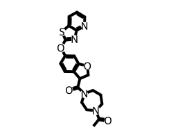 CC(=O)N1CCCN(C(=O)C2COc3cc(Oc4nc5ncccc5s4)ccc32)CC1